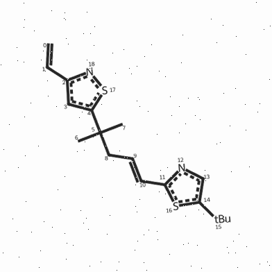 C=Cc1cc(C(C)(C)C/C=C/c2ncc(C(C)(C)C)s2)sn1